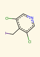 Clc1cncc(Cl)c1CI